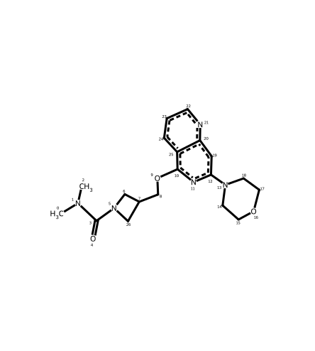 CN(C)C(=O)N1CC(COc2nc(N3CCOCC3)cc3ncccc23)C1